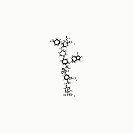 CC1(C)CCC(CN2CCN(c3ccc(C(=O)NS(=O)(=O)c4ccc(NCC5CC[PH](C)(O)CC5)c([N+](=O)[O-])c4)c(Oc4cnc5[nH]ccc5c4)c3)CC2)=C(c2ccc(Cl)cc2)C1